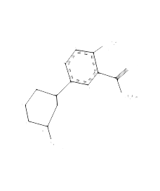 COC(=O)c1cc(C2CCCC(N)C2)ccc1OC